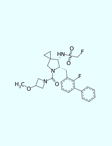 COC1CN(C(=O)N2CC3(CC3)[C@H](NS(=O)(=O)CF)[C@@H]2Cc2cccc(-c3ccccc3)c2F)C1